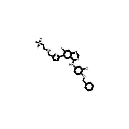 CS(=O)(=O)CCNCc1ccc(-c2cc3c(Nc4ccc(OCc5ccccc5)c(Cl)c4)ncnc3cc2F)o1